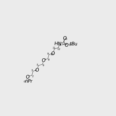 [CH2]CCOCCOCCOCCOCCNC(=O)OC(C)(C)C